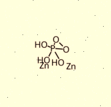 OP1(O)(O)OO1.[Zn].[Zn]